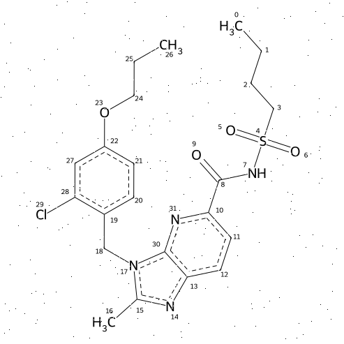 CCCCS(=O)(=O)NC(=O)c1ccc2nc(C)n(Cc3ccc(OCCC)cc3Cl)c2n1